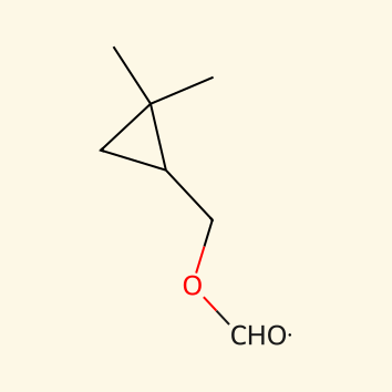 CC1(C)CC1CO[C]=O